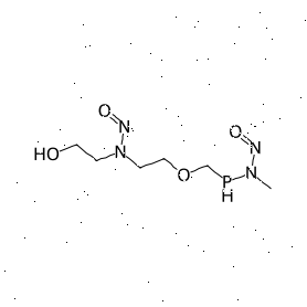 CN(N=O)PCOCCN(CCO)N=O